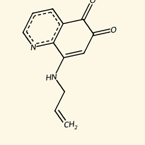 C=CCNC1=CC(=O)C(=O)c2cccnc21